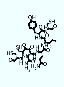 CC[C@H](C)C(NC(=O)[C@H](CCC(N)=O)NN[C@@H](CC(N)=O)C(=O)C(=O)[C@H](CS)NN[C@H](C=O)CS)C(=O)N[C@@H](Cc1ccc(O)cc1)C(=O)N[C@H](C=O)CS